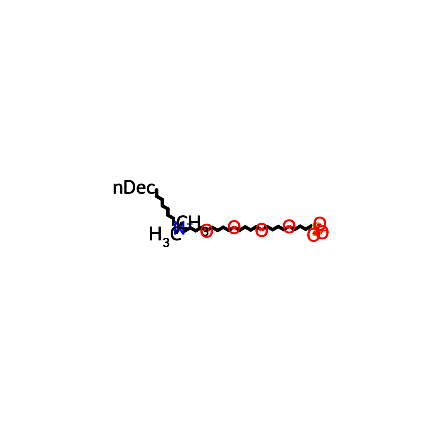 CCCCCCCCCCCCCCCCCC[N+](C)(C)CCCCOCCCCOCCCCOCCCCOCCCCS(=O)(=O)[O-]